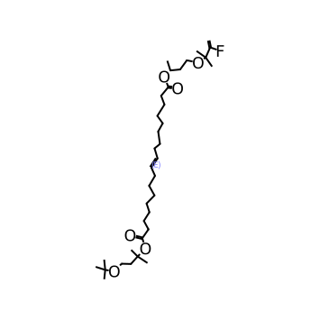 C=C(F)C(C)(C)OCCC(C)OC(=O)CCCCCCC/C=C/CCCCCCCC(=O)OC(C)(C)CCOC(C)(C)C